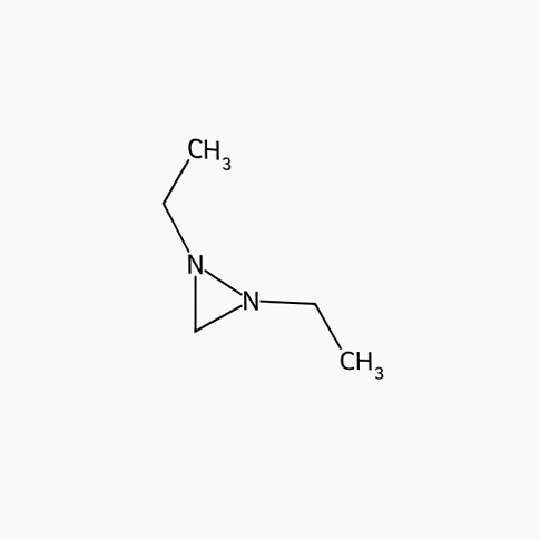 CCN1CN1CC